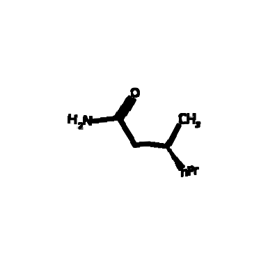 CCC[C@H](C)CC(N)=O